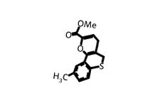 COC(=O)C1=CCC2=C(O1)c1cc(C)ccc1SC2